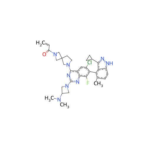 C=CC(=O)N1CC2(CCN(c3nc(N4CC(N(C)C)C4)nc4c(F)c(-c5c(C)ccc6[nH]nc(C7CC7)c56)c(Cl)cc34)C2)C1